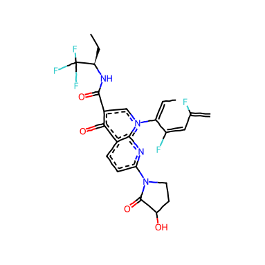 C=C(F)/C=C(F)\C(=C/C)n1cc(C(=O)N[C@H](CC)C(F)(F)F)c(=O)c2ccc(N3CCC(O)C3=O)nc21